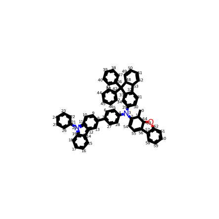 CC1C(N(c2ccc(-c3ccc4c(c3)c3ccccc3n4-c3ccccc3)cc2)c2ccc3c(c2)C(c2ccccc2)(c2ccccc2)C2C=CC=CC32)=CC=C2c3ccccc3OC21